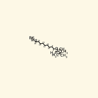 CC(C)(C)[Si](C)(C)OCCCCCCCC[CH2][Mg][Br]